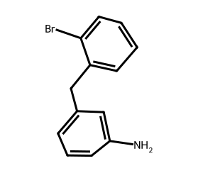 Nc1cccc(Cc2ccccc2Br)c1